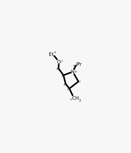 CCOCC1CC(C)CN1C(C)C